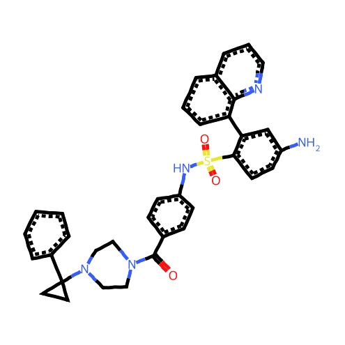 Nc1ccc(S(=O)(=O)Nc2ccc(C(=O)N3CCN(C4(c5ccccc5)CC4)CC3)cc2)c(-c2cccc3cccnc23)c1